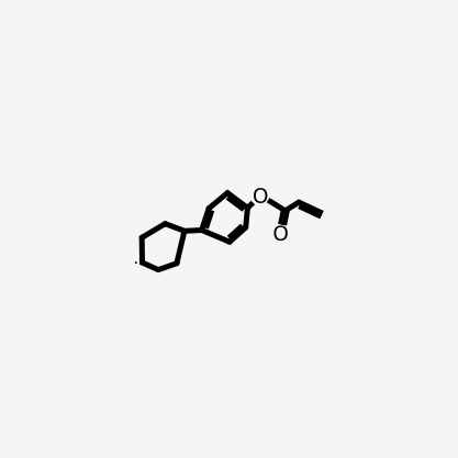 C=CC(=O)Oc1ccc(C2CC[CH]CC2)cc1